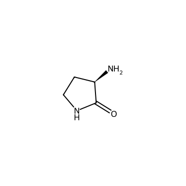 N[C@@H]1CCNC1=O